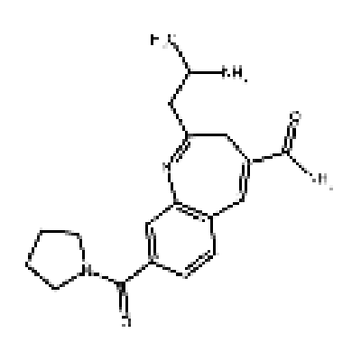 CC(N)CC1=Nc2cc(C(=O)N3CCCC3)ccc2C=C(C(N)=O)C1